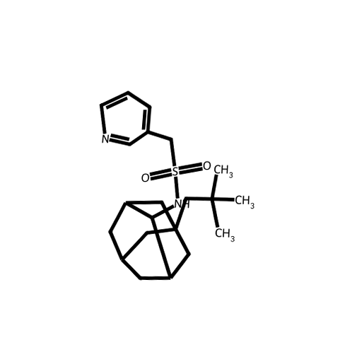 CC(C)(C)CC12CC3CC(C1)C(NS(=O)(=O)Cc1cccnc1)C(C3)C2